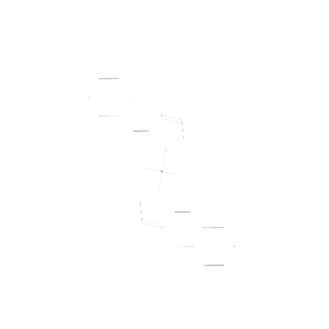 CC1=C(C(C)(C)C2=C(C)C=C3CC4=C(C=C32)CCCC4)C2=CC3=C(CCCC3)CC2=C1